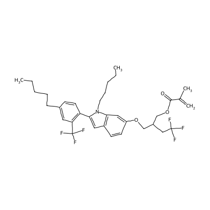 C=C(C)C(=O)OCC(COc1ccc2cc(-c3ccc(CCCCC)cc3C(F)(F)F)n(CCCCC)c2c1)CC(F)(F)F